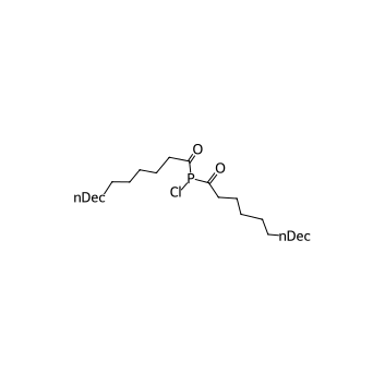 CCCCCCCCCCCCCCCC(=O)P(Cl)C(=O)CCCCCCCCCCCCCCC